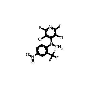 CN(c1ccc([N+](=O)[O-])cc1C(F)(F)F)c1c(Cl)c(F)nc(F)c1Cl